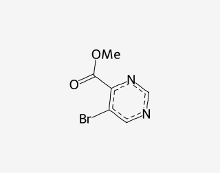 COC(=O)c1ncncc1Br